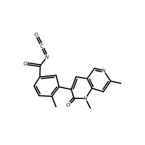 Cc1cc2c(cn1)cc(-c1cc(C(=O)N=C=O)ccc1C)c(=O)n2C